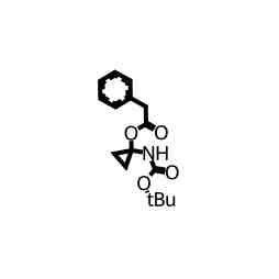 CC(C)(C)OC(=O)NC1(OC(=O)Cc2ccccc2)CC1